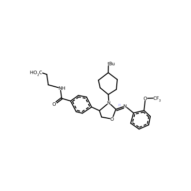 CC(C)(C)C1CCC(N2/C(=N/c3ccccc3OC(F)(F)F)OCC2c2ccc(C(=O)NCCC(=O)O)cc2)CC1